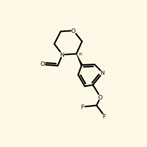 O=CN1CCOC[C@H]1c1ccc(OC(F)F)nc1